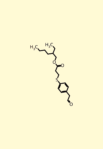 CCCCC(CC)COC(=O)CCSc1ccc(CC=O)cc1